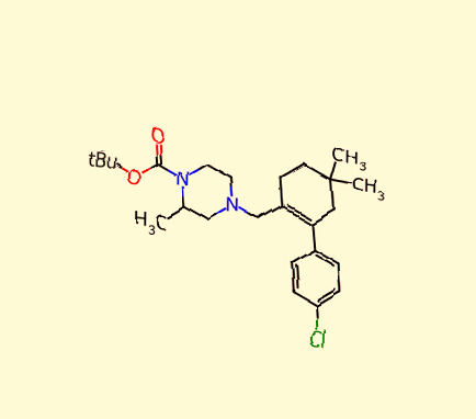 CC1CN(CC2=C(c3ccc(Cl)cc3)CC(C)(C)CC2)CCN1C(=O)OC(C)(C)C